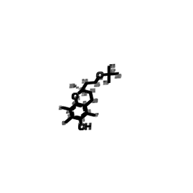 Cc1c(C)c2c(c(C)c1O)CC[C@](C)(CCOC(C)(C)C)O2